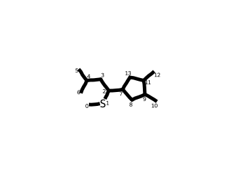 CSC(CC(C)C)C1CC(C)C(C)C1